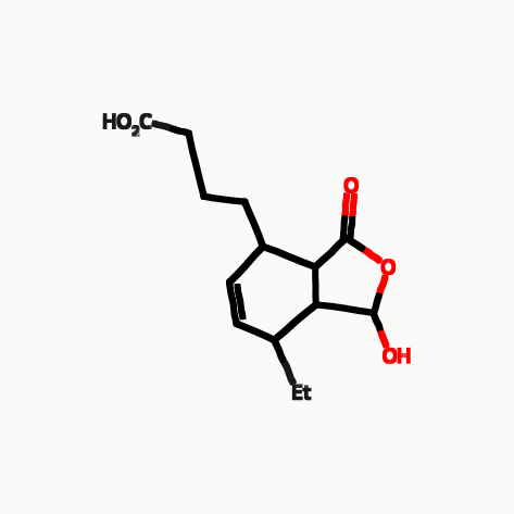 CCC1C=CC(CCCC(=O)O)C2C(=O)OC(O)C12